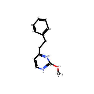 COc1nccc(CCc2ccccc2)n1